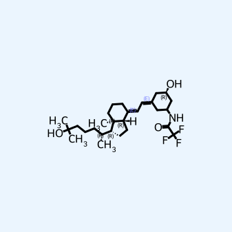 C[C@H](CCCC(C)(C)O)[C@H]1CC[C@H]2/C(=C/C=C3\CC(NC(=O)C(F)(F)F)C[C@H](O)C3)CCC[C@]12C